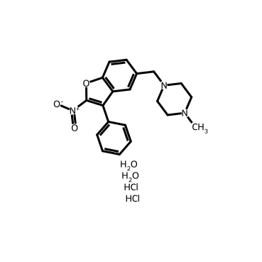 CN1CCN(Cc2ccc3oc([N+](=O)[O-])c(-c4ccccc4)c3c2)CC1.Cl.Cl.O.O